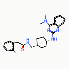 CN(C)c1nc(N[C@H]2CC[C@@H](CNC(=O)Cc3ccccc3I)CC2)nc2ccccc12